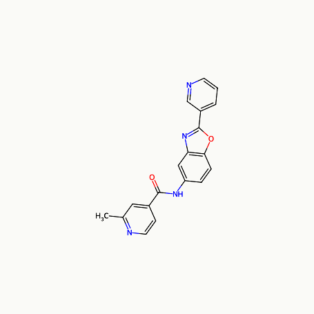 Cc1cc(C(=O)Nc2ccc3oc(-c4cccnc4)nc3c2)ccn1